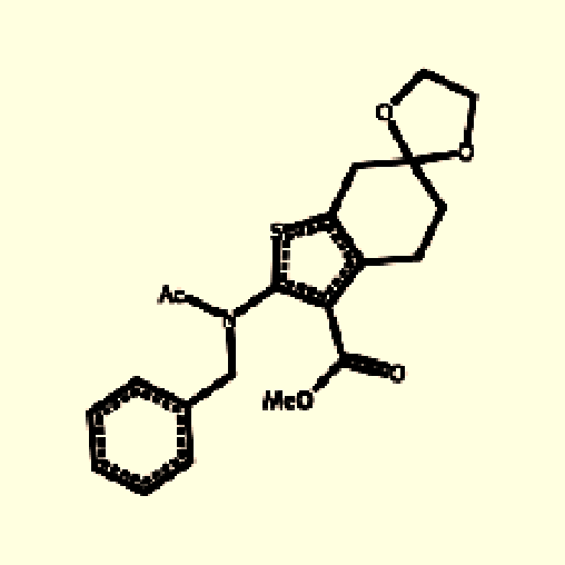 COC(=O)c1c(N(Cc2ccccc2)C(C)=O)sc2c1CCC1(C2)OCCO1